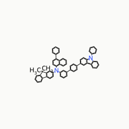 CC1(C)c2ccccc2-c2ccc(N(c3cccc(-c4ccc(-c5ccc6c(c5)c5ccccc5n6-c5ccccc5)cc4)c3)c3ccc(-c4ccccc4)c4ccccc34)cc21